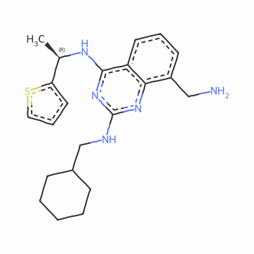 C[C@@H](Nc1nc(NCC2CCCCC2)nc2c(CN)cccc12)c1cccs1